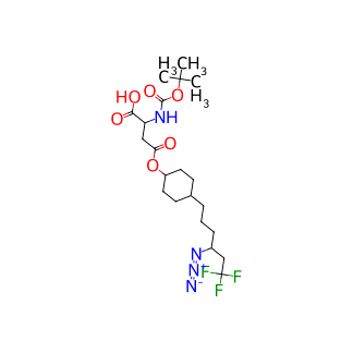 CC(C)(C)OC(=O)NC(CC(=O)OC1CCC(CCCC(CC(F)(F)F)N=[N+]=[N-])CC1)C(=O)O